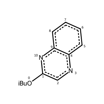 CC(C)COc1cnc2ccccc2n1